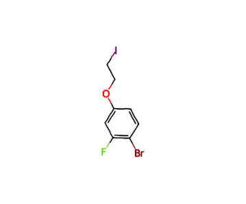 Fc1cc(OCCI)ccc1Br